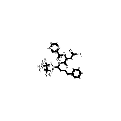 CC1(C)OB(C(CCCc2ccccc2)NC(=O)C(CC(N)=O)NC(=O)c2cnccn2)OC1(C)C